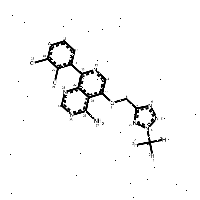 [2H]C([2H])([2H])n1nnc(COc2cnc(-c3cccc(Cl)c3Cl)c3ncnc(N)c23)n1